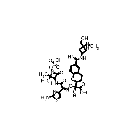 CNC1(CO)CC(NC(=N)c2ccc3c(c2)CCC(C(C)(ON=C(C(=O)NC2C(=O)N(OS(=O)(=O)O)C2(C)C)c2csc(N)n2)C(=O)O)O3)C1